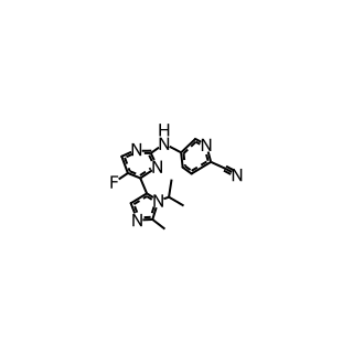 Cc1ncc(-c2nc(Nc3ccc(C#N)nc3)ncc2F)n1C(C)C